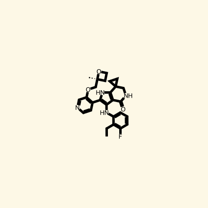 CCc1c(F)cccc1Nc1c(-c2ccncc2OC[C@]2(C)CCO2)[nH]c2c1C(=O)NCC21CC1